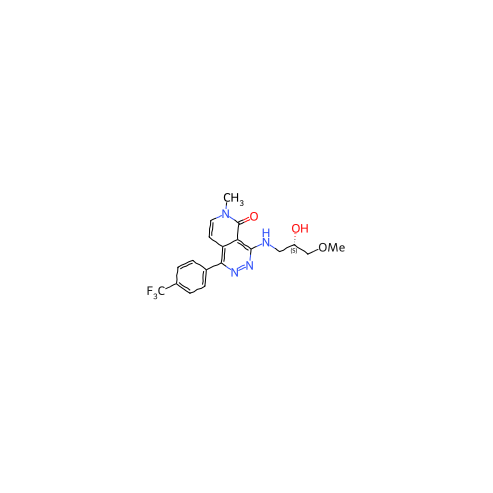 COC[C@@H](O)CNc1nnc(-c2ccc(C(F)(F)F)cc2)c2ccn(C)c(=O)c12